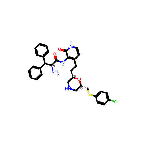 N[C@H](C(=O)Nc1c(CC[C@@H]2CNC[C@@H](CSc3ccc(Cl)cc3)O2)cc[nH]c1=O)C(c1ccccc1)c1ccccc1